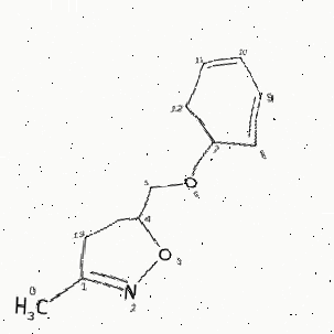 CC1=NOC(COC2C=CC=CC2)C1